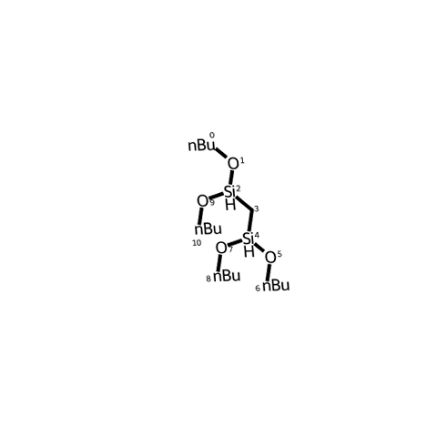 CCCCO[SiH](C[SiH](OCCCC)OCCCC)OCCCC